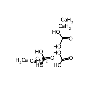 O=C(O)O.O=C(O)O.O=C(O)O.[CaH2].[CaH2].[CaH2].[CaH2].[CaH2]